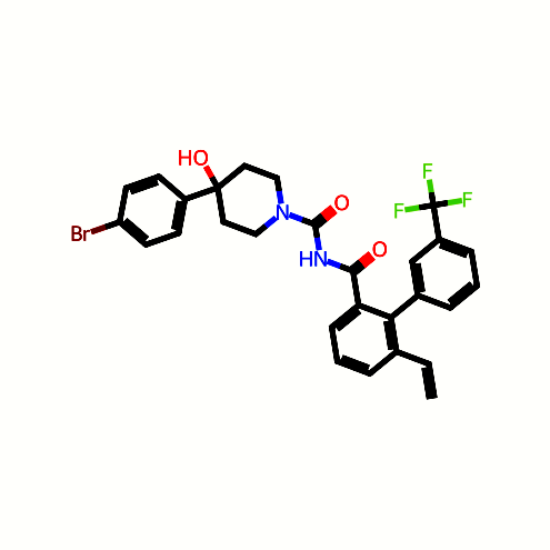 C=Cc1cccc(C(=O)NC(=O)N2CCC(O)(c3ccc(Br)cc3)CC2)c1-c1cccc(C(F)(F)F)c1